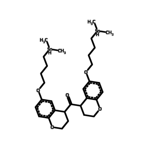 [CH3][SnH]([CH3])[CH2]CCCOc1ccc2c(c1)C(C(=O)C1CCOc3ccc(OCCC[CH2][SnH]([CH3])[CH3])cc31)CCO2